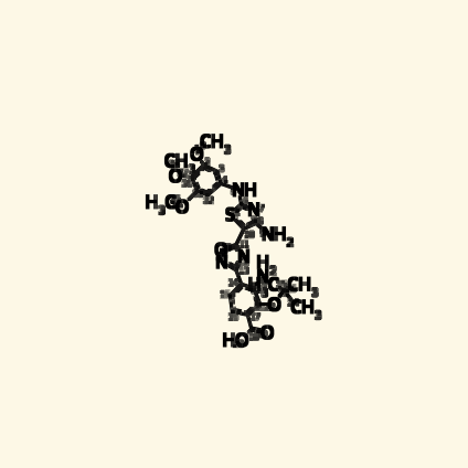 COc1cc(Nc2nc(N)c(-c3nc(-c4ccc(C(=O)O)c(OC(C)(C)C)c4N)no3)s2)cc(OC)c1OC